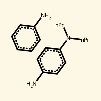 CCCN(CCC)c1ccc(N)cc1.Nc1c[c]ccc1